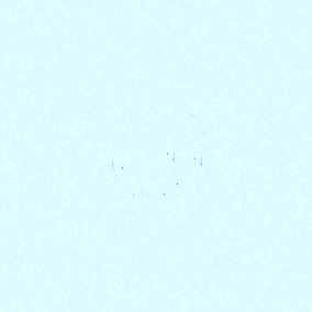 CCCCCCNc1nc2ccccc2n1C1CCNCC1